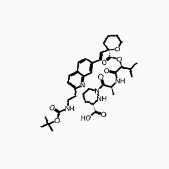 CC(C)[C@H](OC(=O)[C@]1(/C=C/c2ccc3ccc(CCNC(=O)OC(C)(C)C)nc3c2)CCCCO1)C(=O)N[C@@H](C)C(=O)N1CCC[C@@H](C(=O)O)N1